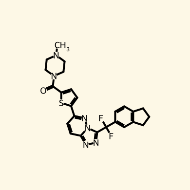 CN1CCN(C(=O)c2ccc(-c3ccc4nnc(C(F)(F)c5ccc6c(c5)CCC6)n4n3)s2)CC1